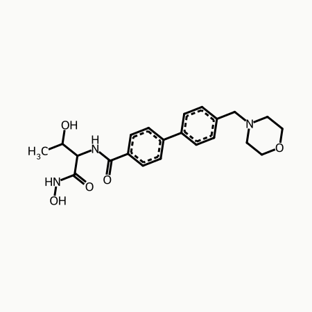 CC(O)C(NC(=O)c1ccc(-c2ccc(CN3CCOCC3)cc2)cc1)C(=O)NO